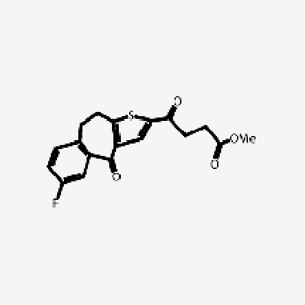 COC(=O)CCC(=O)c1cc2c(s1)CCc1ccc(F)cc1C2=O